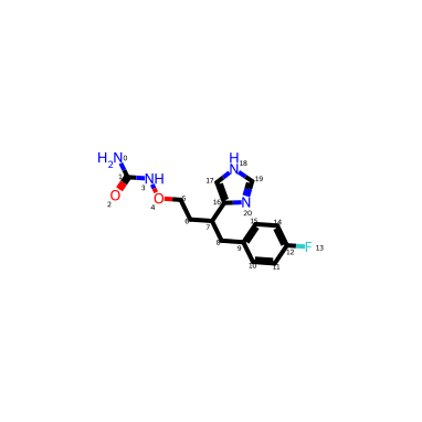 NC(=O)NOCCC(Cc1ccc(F)cc1)c1c[nH]cn1